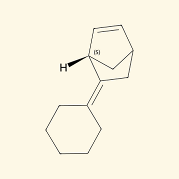 C1=C[C@@H]2CC1CC2=C1CCCCC1